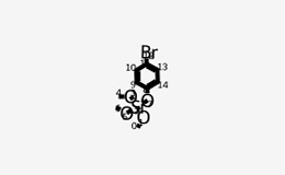 CO[Si](OC)(OC)Oc1ccc(Br)cc1